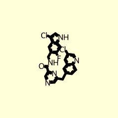 O=C(NCc1cc2c(Cl)c[nH]c2cc1F)c1cncc(Cc2ccc3ncc(Cl)cc3c2)n1